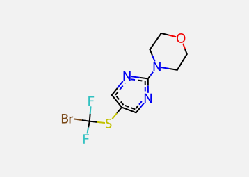 FC(F)(Br)Sc1cnc(N2CCOCC2)nc1